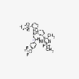 Cc1nc(C(C)(F)F)cn1-c1ccc(-c2cccc(S(C)(=O)=O)c2)cc1N(N)/C(=C\N)c1ccc(OC(F)(F)F)cc1